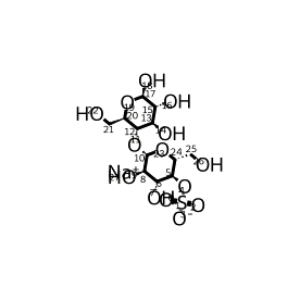 O=S(=O)([O-])O[C@H]1[C@H](O)[C@@H](O)[C@H](O[C@H]2[C@H](O)[C@@H](O)[C@H](O)O[C@@H]2CO)O[C@@H]1CO.[Na+]